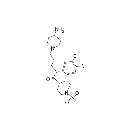 CS(=O)(=O)N1CCC(C(=O)N(CCCN2CCC(N)CC2)c2ccc(Cl)c(Cl)c2)CC1